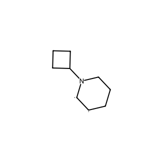 [CH]1[CH]N(C2CCC2)CCC1